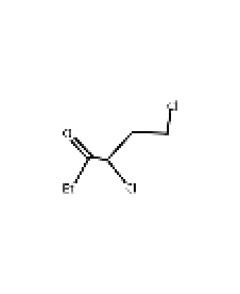 CCC(=O)C(Cl)CCCl